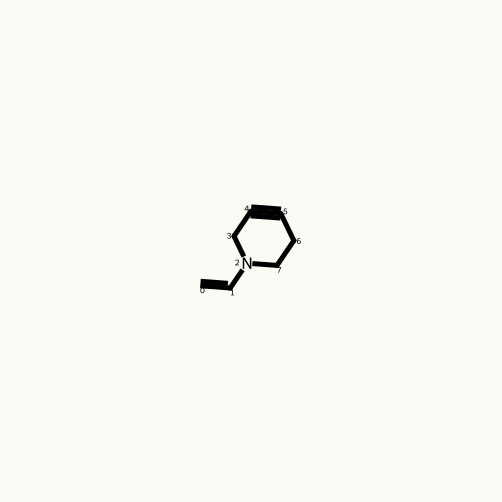 C=CN1CC#CCC1